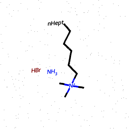 Br.CCCCCCCCCCCC[N+](C)(C)C.N